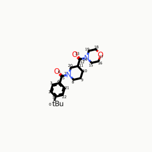 CC(C)(C)c1ccc(C(=O)N2CCCC(C(=O)N3CCOCC3)C2)cc1